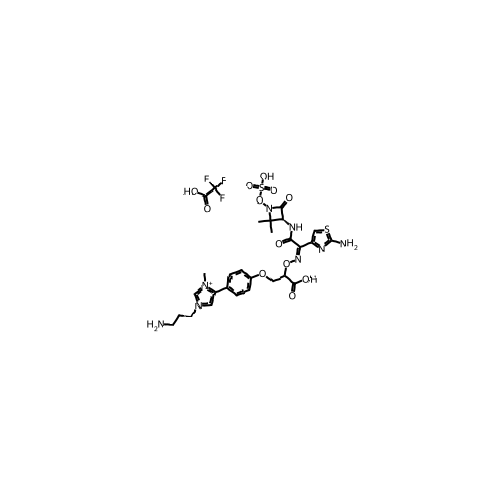 C[n+]1cn(CCCN)cc1-c1ccc(OCC(O/N=C(\C(=O)N[C@@H]2C(=O)N(OS(=O)(=O)O)C2(C)C)c2csc(N)n2)C(=O)O)cc1.O=C(O)C(F)(F)F